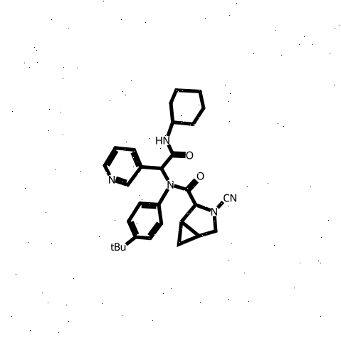 CC(C)(C)c1ccc(N(C(=O)C2C3CC3CN2C#N)C(C(=O)NC2CCCCC2)c2cccnc2)cc1